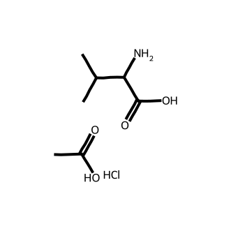 CC(=O)O.CC(C)C(N)C(=O)O.Cl